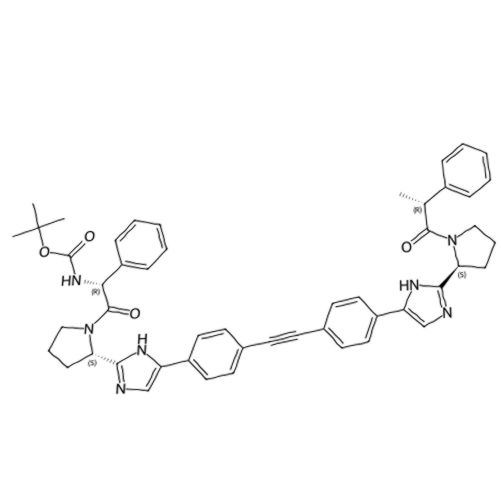 C[C@@H](C(=O)N1CCC[C@H]1c1ncc(-c2ccc(C#Cc3ccc(-c4cnc([C@@H]5CCCN5C(=O)[C@H](NC(=O)OC(C)(C)C)c5ccccc5)[nH]4)cc3)cc2)[nH]1)c1ccccc1